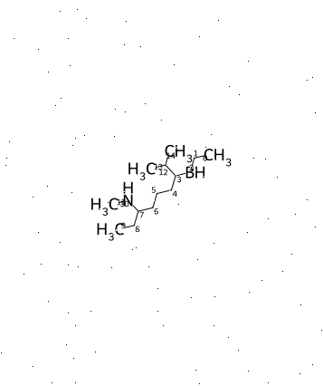 CCBC(CCCC(CC)NC)C(C)C